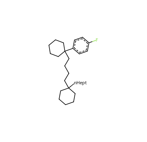 CCCCCCCC1(CCCCC2(c3ccc(F)cc3)CCCCC2)CCCCC1